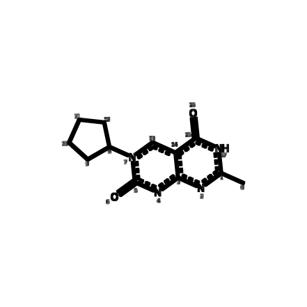 Cc1nc2nc(=O)n(C3CCCC3)cc2c(=O)[nH]1